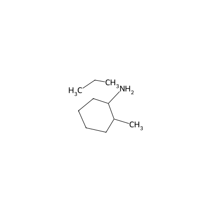 CC1CCCCC1N.CCC